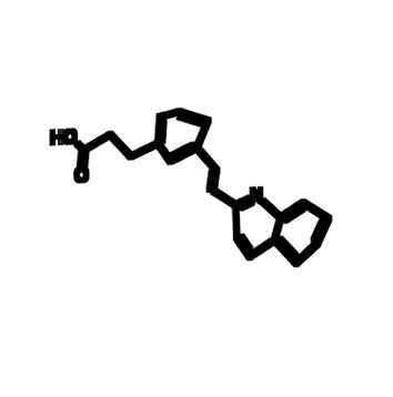 O=C(O)CCc1cccc(C=Cc2ccc3ccccc3n2)c1